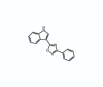 c1ccc(-c2noc(-c3c[nH]c4ccccc34)n2)cc1